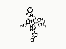 CC(C)[C@@H](C(=O)N1C[C@H](O)C[C@H]1c1nc2ccccc2s1)n1cc(-c2ccc(Cl)s2)nn1